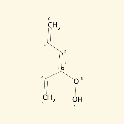 C=C/C=C(\C=C)OO